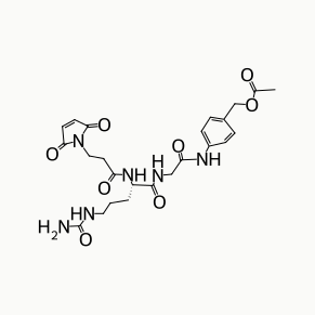 CC(=O)OCc1ccc(NC(=O)CNC(=O)[C@H](CCCNC(N)=O)NC(=O)CCN2C(=O)C=CC2=O)cc1